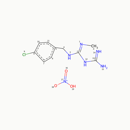 CN=C(NCc1ccc(Cl)cc1)NC(=N)N.O=[N+]([O-])O